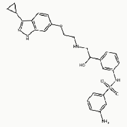 Nc1cccc(S(=O)(=O)Nc2cccc(C(O)CNCCOc3ccc4c(C5CC5)n[nH]c4c3)c2)c1